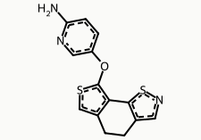 Nc1ccc(Oc2scc3c2-c2sncc2CC3)cn1